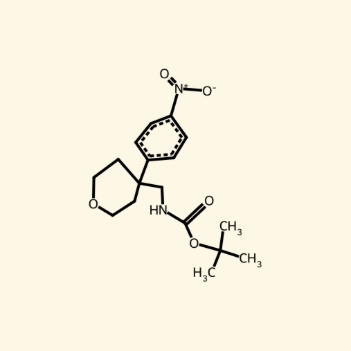 CC(C)(C)OC(=O)NCC1(c2ccc([N+](=O)[O-])cc2)CCOCC1